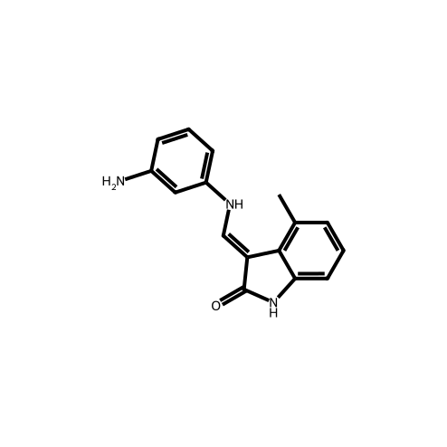 Cc1cccc2c1/C(=C\Nc1cccc(N)c1)C(=O)N2